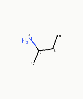 [CH2]CC([CH2])N